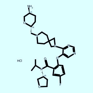 CC(C)N(C(=O)c1cc(F)ccc1Oc1cncnc1N1CC2(CCN(C[C@H]3CC[C@H](N)CO3)CC2)C1)[C@@H]1CCOC1.Cl